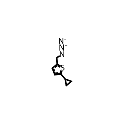 [N-]=[N+]=NCc1ccc(C2CC2)s1